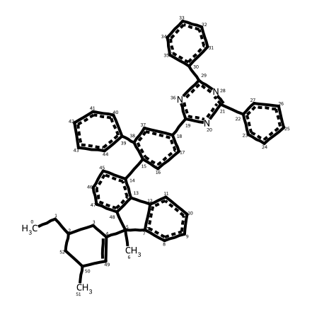 CCC1CC(C2(C)c3ccccc3-c3c(-c4ccc(-c5nc(-c6ccccc6)nc(-c6ccccc6)n5)cc4-c4ccccc4)cccc32)=CC(C)C1